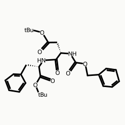 CC(C)(C)OC(=O)C[C@H](NC(=O)OCc1ccccc1)C(=O)N[C@@H](Cc1ccccc1)C(=O)OC(C)(C)C